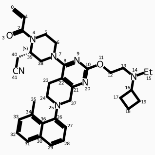 C=CC(=O)N1CCN(c2nc(OCCN(CC)C3CCC3)nc3c2CCN(c2cccc4cccc(C)c24)C3)C[C@@H]1CC#N